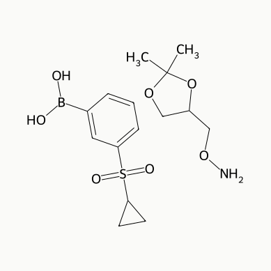 CC1(C)OCC(CON)O1.O=S(=O)(c1cccc(B(O)O)c1)C1CC1